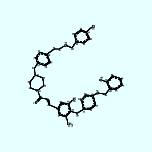 Cc1cc(C=CC(=O)N2CCN(Cc3ccc(CCOCc4ccc(Cl)cc4)cc3)CC2)cc(Cl)c1Oc1ccc(OCc2ccccc2Cl)cn1